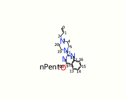 C=CCN1CCN(c2nc(OCCCCC)c3ccccc3n2)CC1